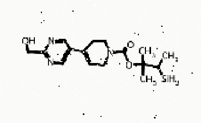 CC([SiH3])C(C)(C)OC(=O)N1CC=C(c2cnc(CO)nc2)CC1